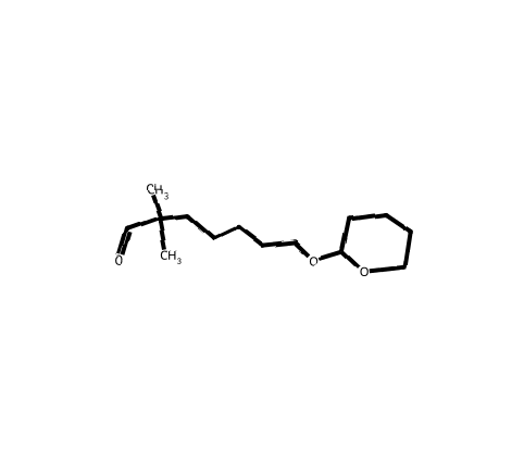 CC(C)(C=O)CCCCCOC1CCCCO1